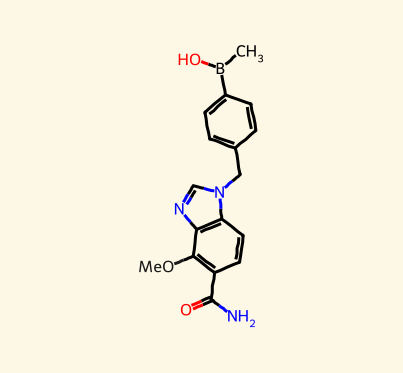 COc1c(C(N)=O)ccc2c1ncn2Cc1ccc(B(C)O)cc1